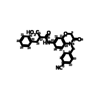 N#Cc1ccc(CN2C(=O)COc3cc(NC(=O)C(Cc4ccccc4)C(=O)O)ccc32)cc1